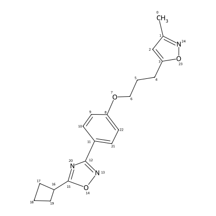 Cc1cc(CCCOc2ccc(-c3noc(C4CCC4)n3)cc2)on1